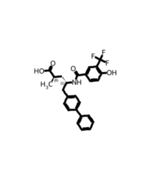 C[C@H](C[C@@H](Cc1ccc(-c2ccccc2)cc1)NC(=O)c1ccc(O)c(C(F)(F)F)c1)C(=O)O